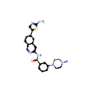 Nc1ncc(-c2ccc3cnc(NC(=O)c4cccc(N5CCN(I)CC5)c4)cc3c2)s1